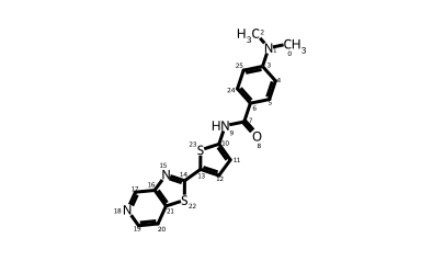 CN(C)c1ccc(C(=O)Nc2ccc(-c3nc4cnccc4s3)s2)cc1